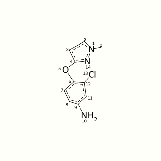 Cn1ccc(Oc2ccc(N)cc2Cl)n1